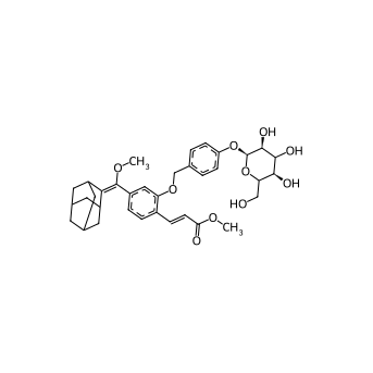 COC(=O)/C=C/c1ccc(C(OC)=C2C3CC4CC(C3)CC2C4)cc1OCc1ccc(O[C@@H]2OC(CO)[C@H](O)C(O)[C@@H]2O)cc1